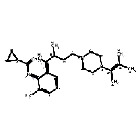 C=C(/N=C1/C(C(F)(F)F)=CC=C/C1=C(/C)C(C)CCN1CCN(C(C)=C(C)C)CC1)C1CC1